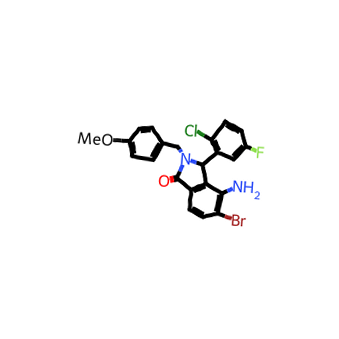 COc1ccc(CN2C(=O)c3ccc(Br)c(N)c3C2c2cc(F)ccc2Cl)cc1